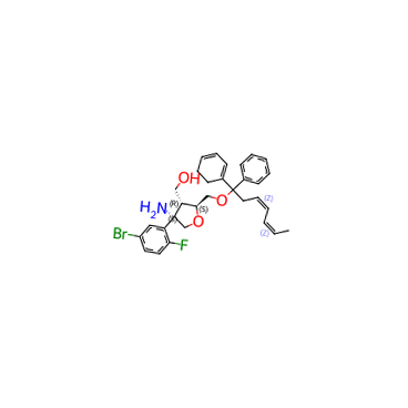 C/C=C\C=C/CC(OC[C@H]1OC[C@@](N)(c2cc(Br)ccc2F)[C@@H]1CO)(C1=CC=CCC1)c1ccccc1